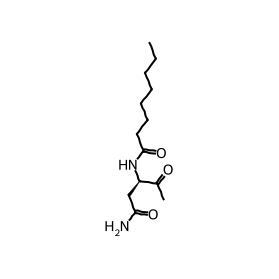 CCCCCCCC(=O)N[C@H](CC(N)=O)C(C)=O